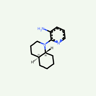 Nc1cccnc1N1CCC[C@@H]2CCCC[C@H]21